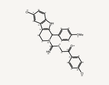 COc1ccc(C2c3[nH]c4ccc(Cl)cc4c3CCN2C(=N)SCC(=O)c2ccc(Cl)cc2)cc1